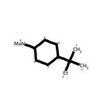 CCC(C)(C)C1CCC(NC)CC1